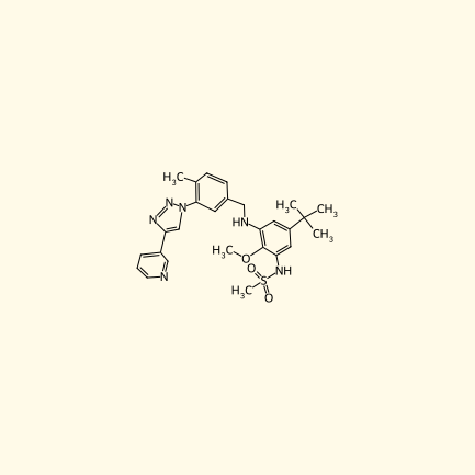 COc1c(NCc2ccc(C)c(-n3cc(-c4cccnc4)nn3)c2)cc(C(C)(C)C)cc1NS(C)(=O)=O